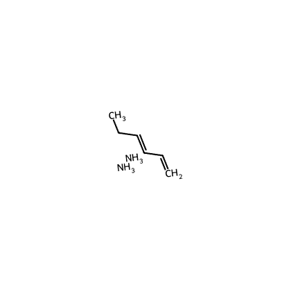 C=C/C=C/CC.N.N